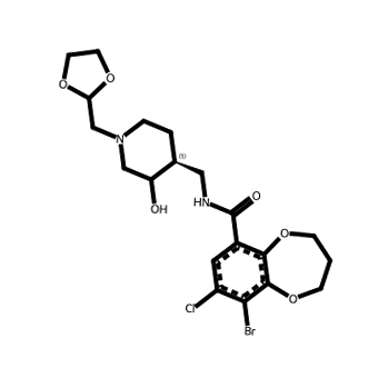 O=C(NC[C@@H]1CCN(CC2OCCO2)CC1O)c1cc(Cl)c(Br)c2c1OCCCO2